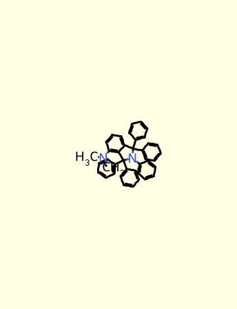 CN(C)c1cccc2c1C(c1ccccc1)(c1ccccc1)N(c1ccccc1)C2(c1ccccc1)c1ccccc1